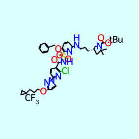 CC(C)(C)OC(=O)N1C[C@@H](CCCNc2ccc(OCc3ccccc3)c(S(=O)(=O)NC(=O)c3ccc(-n4ccc(OCCCC5(C(F)(F)F)CC5)n4)nc3Cl)n2)CC1(C)C